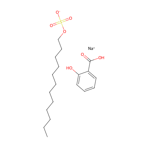 CCCCCCCCCCCCOS(=O)(=O)[O-].O=C(O)c1ccccc1O.[Na+]